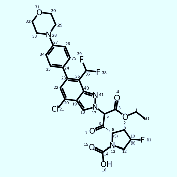 CCOC(=O)C(C(=O)[C@@H]1C[C@@H](F)CN1C(=O)O)n1cc2c(Cl)cc(-c3ccc(N4CCOCC4)cc3)c(C(F)F)c2n1